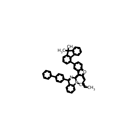 C\C=C/C=c1/oc2ccc(-c3cccc4c3-c3ccccc3C4(C)C)cc2/c1=C1\N=C(c2ccc(-c3ccccc3)cc2)c2ccccc2N1C